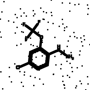 NNc1ccc(Cl)cc1OC(F)(F)F